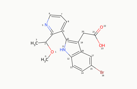 COC(C)c1ncccc1-c1[nH]c2ccc(Br)cc2c1CC(=O)O